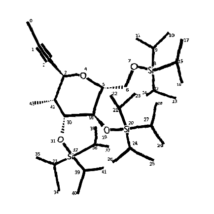 CC#C[C@H]1O[C@H](CO[Si](C(C)C)(C(C)C)C(C)C)[C@@H](O[Si](C(C)C)(C(C)C)C(C)C)[C@H](O[Si](C(C)C)(C(C)C)C(C)C)[C@@H]1C